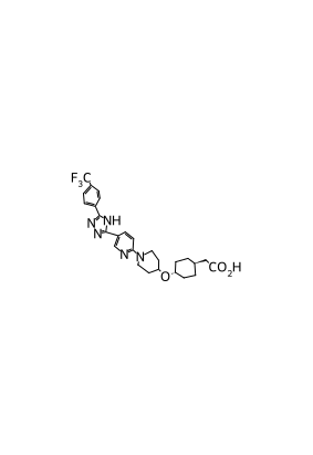 O=C(O)C[C@H]1CC[C@H](OC2CCN(c3ccc(-c4nnc(-c5ccc(C(F)(F)F)cc5)[nH]4)cn3)CC2)CC1